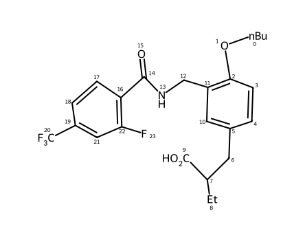 CCCCOc1ccc(CC(CC)C(=O)O)cc1CNC(=O)c1ccc(C(F)(F)F)cc1F